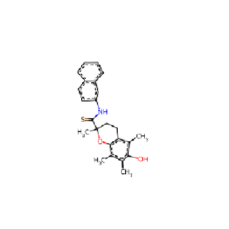 Cc1c(C)c2c(c(C)c1O)CCC(C)(C(=S)Nc1ccc3ccccc3c1)O2